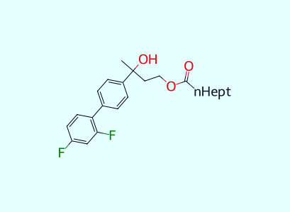 CCCCCCCC(=O)OCCC(C)(O)c1ccc(-c2ccc(F)cc2F)cc1